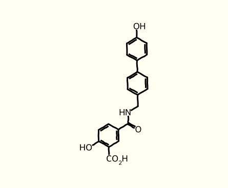 O=C(NCc1ccc(-c2ccc(O)cc2)cc1)c1ccc(O)c(C(=O)O)c1